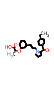 CCc1ccc(C(=O)c2cccn2C/C=C/c2cccc(O[C@@H](C)C(=O)O)c2)cc1